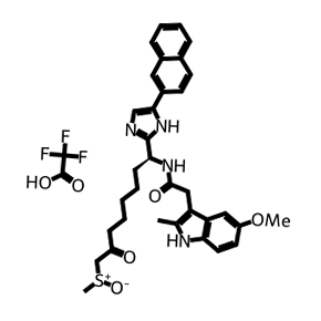 COc1ccc2[nH]c(C)c(CC(=O)N[C@@H](CCCCCC(=O)C[S+](C)[O-])c3ncc(-c4ccc5ccccc5c4)[nH]3)c2c1.O=C(O)C(F)(F)F